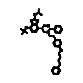 CC(C)Oc1nc2c(OC(C)(C)C)ccc(C(C=O)CN(CCc3ccc(OCCCCc4ccccc4)cc3)Cc3ccccc3)c2s1